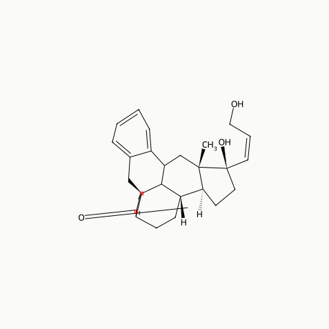 C[C@]12CC3c4ccccc4C[C@]45CCC(=O)C=C4CC[C@H](C35)[C@@H]1CC[C@@]2(O)/C=C\CO